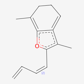 C=C/C=C\c1oc2c(c1C)=CCCC=2C